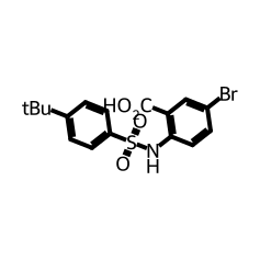 CC(C)(C)c1ccc(S(=O)(=O)Nc2ccc(Br)cc2C(=O)O)cc1